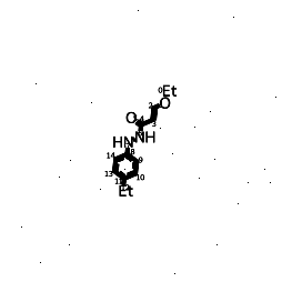 CCOC=CC(=O)NNc1ccc(CC)cc1